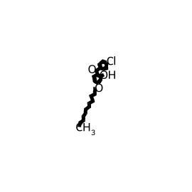 CCCCCCCCCCCCOc1ccc(C(=O)c2ccc(Cl)cc2)c(O)c1